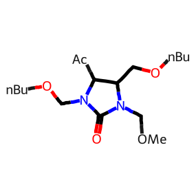 CCCCOCC1C(C(C)=O)N(COCCCC)C(=O)N1COC